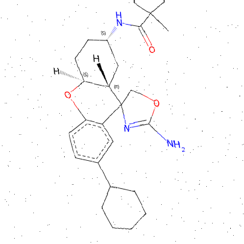 CC(C)(C)C(=O)N[C@H]1CC[C@@H]2Oc3ccc(C4CCCCC4)cc3C3(COC(N)=N3)[C@H]2C1